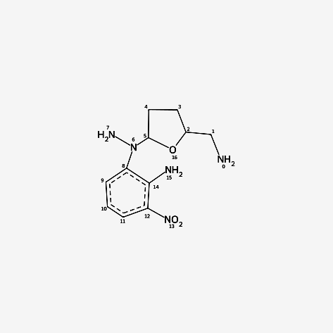 NCC1CCC(N(N)c2cccc([N+](=O)[O-])c2N)O1